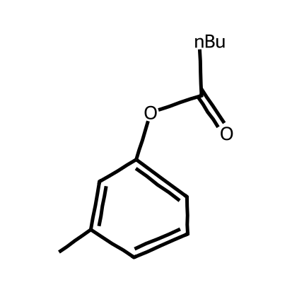 CCCCC(=O)Oc1cccc(C)c1